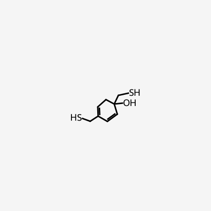 OC1(CS)C=CC(CS)=CC1